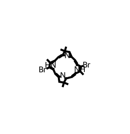 Cc1c(Br)c2cc3nc(cc4[nH]c(cc5nc(cc1[nH]2)C(C)(C)C5)c(Br)c4C)C(C)(C)C3